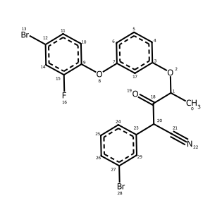 CC(Oc1cccc(Oc2ccc(Br)cc2F)c1)C(=O)C(C#N)c1cccc(Br)c1